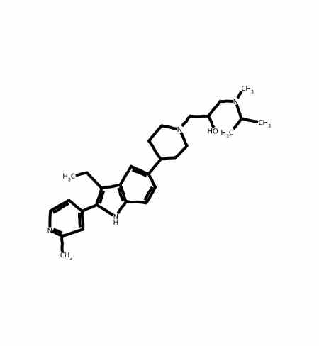 CCc1c(-c2ccnc(C)c2)[nH]c2ccc(C3CCN(CC(O)CN(C)C(C)C)CC3)cc12